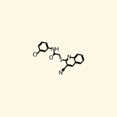 N#Cc1cc2ccccc2nc1SCC(=O)Nc1cccc(Cl)c1